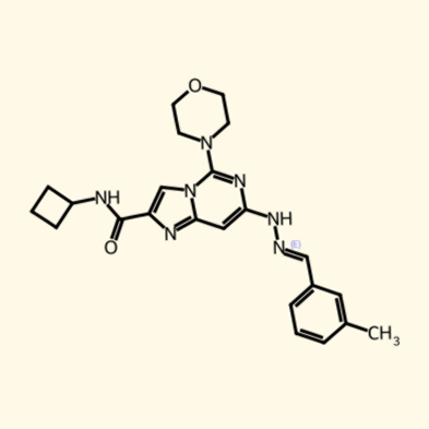 Cc1cccc(/C=N/Nc2cc3nc(C(=O)NC4CCC4)cn3c(N3CCOCC3)n2)c1